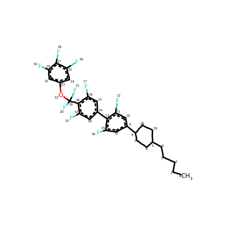 CCCCCC1CCC(c2cc(F)c(-c3cc(F)c(C(F)(F)Oc4cc(F)c(F)c(F)c4)c(F)c3)c(F)c2)CC1